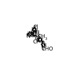 Cc1cc(CN2CCN(C=O)CC2)cc(Cl)c1OCC1COC(Cn2ccnc2)(c2ccc(Cl)cc2Cl)O1